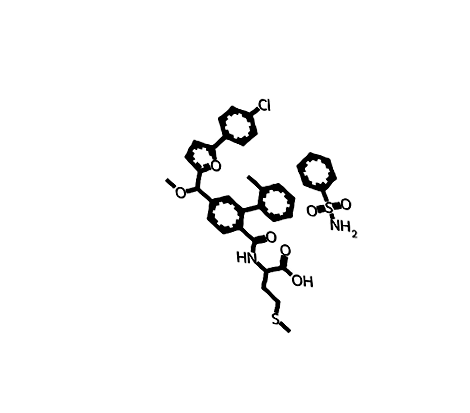 COC(c1ccc(C(=O)NC(CCSC)C(=O)O)c(-c2ccccc2C)c1)c1ccc(-c2ccc(Cl)cc2)o1.NS(=O)(=O)c1ccccc1